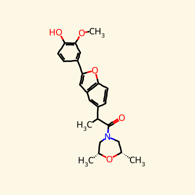 COc1cc(-c2cc3cc(C(C)C(=O)N4C[C@@H](C)O[C@@H](C)C4)ccc3o2)ccc1O